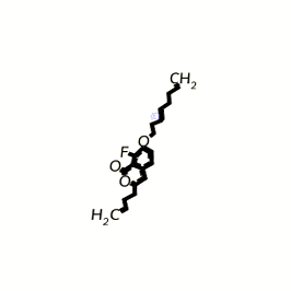 C=CCC/C=C/CCOc1ccc2cc(CCC=C)oc(=O)c2c1F